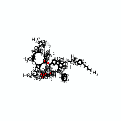 CCCCCOc1ccc(S(=O)(=O)NCCNCc2c(O)cc3c4c2C(O)(O)c2ccc(cc2-4)[C@H]2NC(=O)[C@@H]4NC(=O)[C@H](CC(N)=O)NC(=O)[C@H](NC(=O)[C@@H](CC(C)C)NC)[C@H](O)c5ccc(c(C)c5)Oc5cc4cc(c5O[C@@H]4O[C@H](CO)[C@@H](O)[C@H](O)[C@H]4O[C@H]4C[C@](C)(N)[C@H](O)[C@H](C)O4)Oc4ccc(cc4Cl)[C@@H](O)[C@H](NC2=O)C(=O)N[C@@H]3C(=O)NC2C3CC4CC(C3)CC2C4)cc1